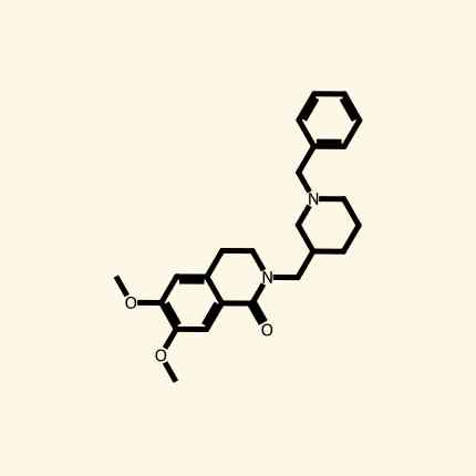 COc1cc2c(cc1OC)C(=O)N(CC1CCCN(Cc3ccccc3)C1)CC2